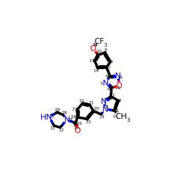 Cc1cc(-c2nc(-c3ccc(OC(F)(F)F)cc3)no2)nn1Cc1cccc(C(=O)N2CCNCC2)c1